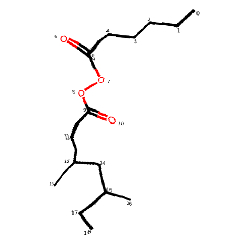 CCCCCC(=O)OOC(=O)CC(C)CC(C)CC